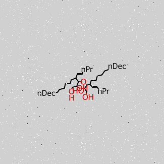 CCCC=CC(CCCCCCCCCCCCCCCC)C(OC(C(O)CO)C(C=CCCC)CCCCCCCCCCCCCCCC)C(O)CO